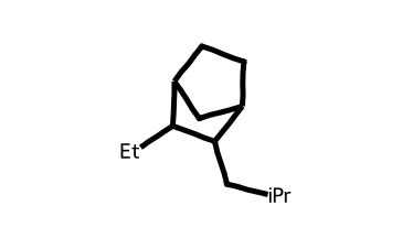 CCC1C2CCC(C2)C1CC(C)C